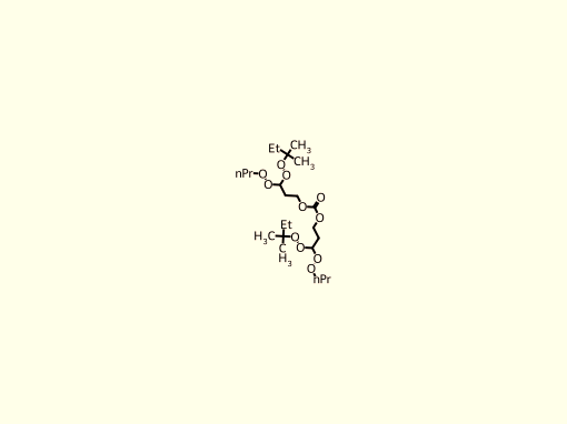 CCCOOC(CCOC(=O)OCCC(OOCCC)OOC(C)(C)CC)OOC(C)(C)CC